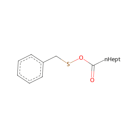 CCCCCCCC(=O)OSCc1ccccc1